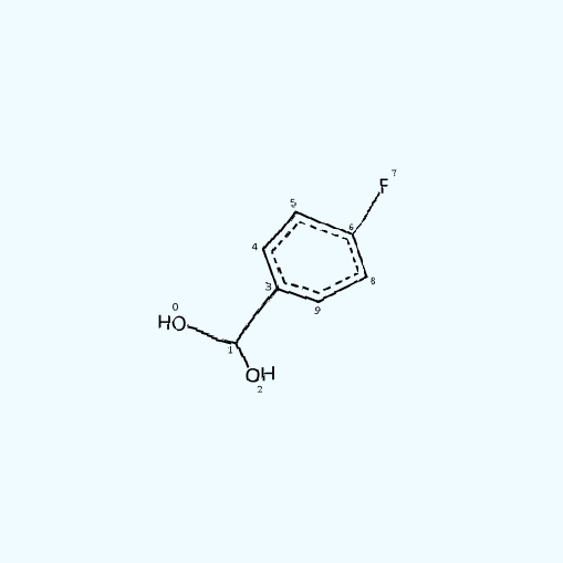 OC(O)c1ccc(F)cc1